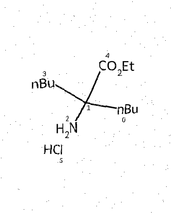 CCCCC(N)(CCCC)C(=O)OCC.Cl